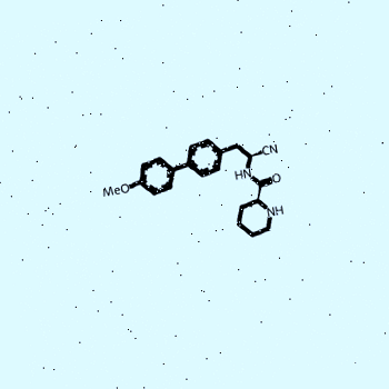 COc1ccc(-c2ccc(C[C@@H](C#N)NC(=O)[C@@H]3CCCCN3)cc2)cc1